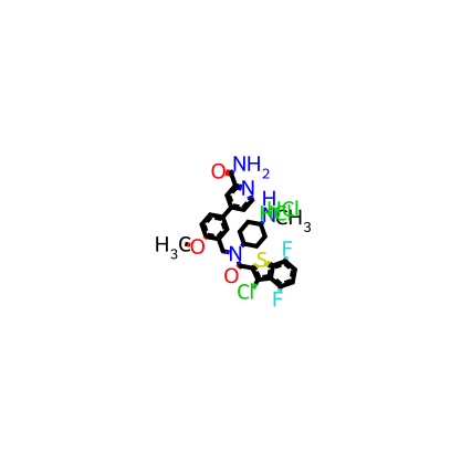 CNC1CCC(N(Cc2cc(-c3ccnc(C(N)=O)c3)ccc2OC)C(=O)c2sc3c(F)ccc(F)c3c2Cl)CC1.Cl.Cl